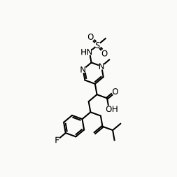 C=C(CC(CC(C(=O)O)C1=CN(C)C(NS(C)(=O)=O)N=C1)c1ccc(F)cc1)C(C)C